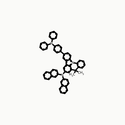 CC1(C)c2ccccc2-n2c3ccc(-c4ccc(N(c5ccccc5)c5ccccc5)cc4)cc3c3cc(N(c4ccc5ccccc5c4)c4ccc5ccccc5c4)cc1c32